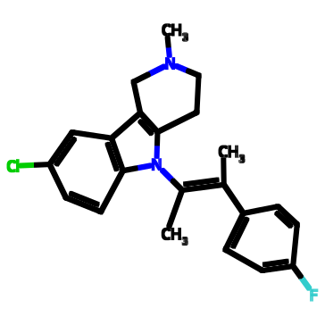 CC(=C(C)n1c2c(c3cc(Cl)ccc31)CN(C)CC2)c1ccc(F)cc1